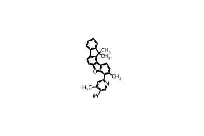 Cc1cc(-c2c(C)ccc3c2oc2ccc4c(c23)C(C)(C)c2ccccc2-4)ncc1C(C)C